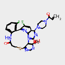 C=CC(=O)N1CCN(C2=NC(O)N3c4nc(c(F)cc42)-c2c(F)cccc2NC(=O)CCSc2ncnc(C(C)C)c23)CC1